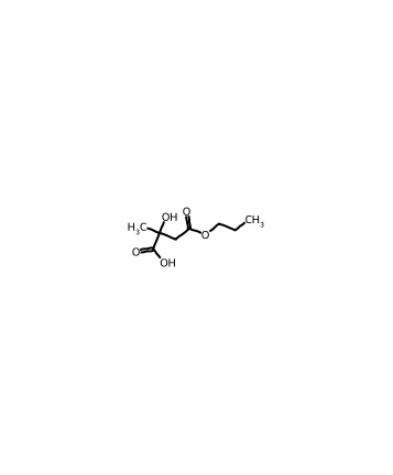 CCCOC(=O)CC(C)(O)C(=O)O